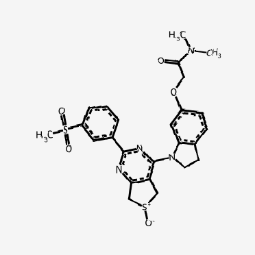 CN(C)C(=O)COc1ccc2c(c1)N(c1nc(-c3cccc(S(C)(=O)=O)c3)nc3c1C[S+]([O-])C3)CC2